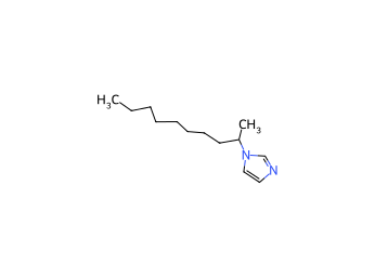 CCCCCCCCC(C)n1ccnc1